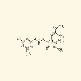 CO/C(N)=C(/C=C(\N)OC)C(O)CNCc1cc(C)cc(Cl)c1